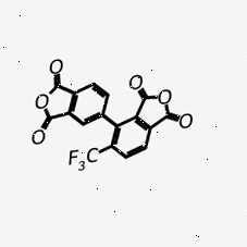 O=C1OC(=O)c2cc(-c3c(C(F)(F)F)ccc4c3C(=O)OC4=O)ccc21